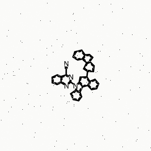 N#Cc1nc(-n2c3ccccc3c3c4ccccc4c(-c4ccc5ccc6ccccc6c5c4)cc32)nc2ccccc12